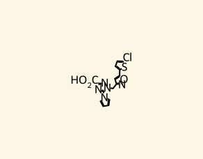 O=C(O)c1nc(-n2cccc2)n(Cc2cc(-c3ccc(Cl)s3)on2)n1